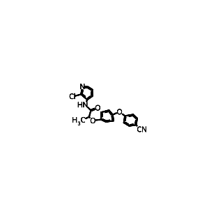 CC(Oc1ccc(Oc2ccc(C#N)cc2)cc1)C(=O)Nc1cccnc1Cl